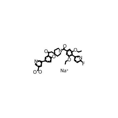 CCOc1cc(C(=O)N2CCC3(CC2)CC(=O)c2cc(-c4cncc(C(=O)[O-])c4)ccc2O3)cc(OCC)c1-c1ccc(F)nc1.[Na+]